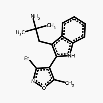 CCc1noc(C)c1-c1[nH]c2ccccc2c1CC(C)(C)N